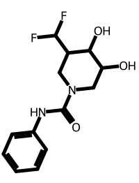 O=C(Nc1ccccc1)N1CC(O)C(O)C(C(F)F)C1